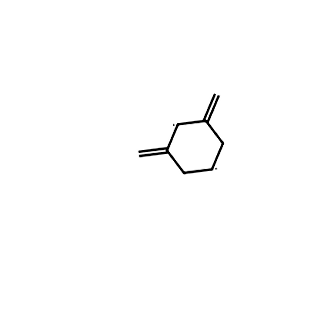 C=C1[CH]C(=C)C[CH]C1